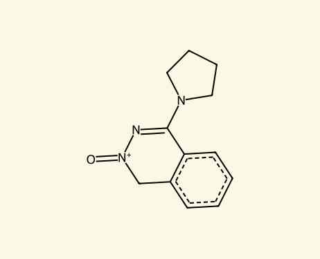 O=[N+]1Cc2ccccc2C(N2CCCC2)=N1